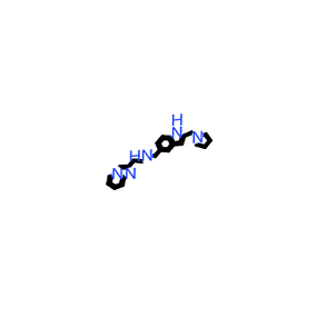 c1ccn2cc(CCNCc3ccc4[nH]c(CN5CCCC5)cc4c3)nc2c1